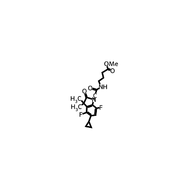 COC(=O)CCCNC(=O)CN1C(=O)C(C)(C)c2c(F)c(C3CC3)cc(F)c21